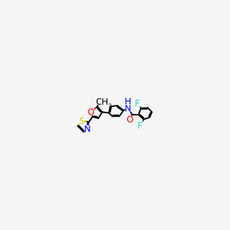 Cc1oc(-c2nccs2)cc1-c1ccc(NC(=O)c2c(F)cccc2F)cc1